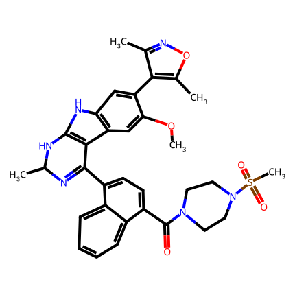 COc1cc2c3c([nH]c2cc1-c1c(C)noc1C)NC(C)N=C3c1ccc(C(=O)N2CCN(S(C)(=O)=O)CC2)c2ccccc12